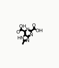 Cc1nc2nc(C(=O)O)nc(C(=O)O)c2[nH]1